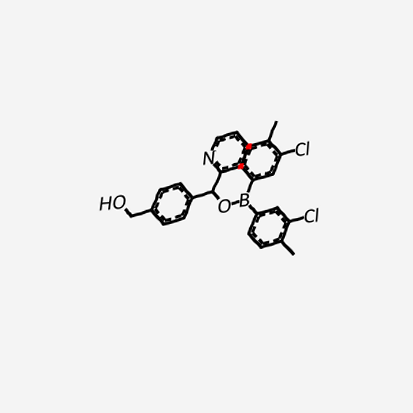 Cc1ccc(B(OC(c2ccc(CO)cc2)c2ccccn2)c2ccc(C)c(Cl)c2)cc1Cl